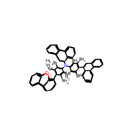 Bc1c(B)c(N(c2c(B)c(B)c(-c3cccc4c3oc3ccccc34)c(B)c2B)c2cc3ccccc3c3ccccc23)c(B)c(B)c1-c1cc2ccccc2c2ccccc12